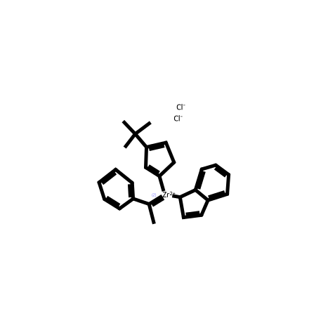 C/[C](c1ccccc1)=[Zr+2](/[C]1=CC(C(C)(C)C)=CC1)[CH]1C=Cc2ccccc21.[Cl-].[Cl-]